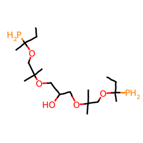 CCC(C)(P)OCC(C)(C)OCC(O)COC(C)(C)COC(C)(P)CC